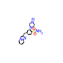 NS(=O)(=O)c1ccc(Cc2cn3ccccc3n2)cc1N1CCNCC1